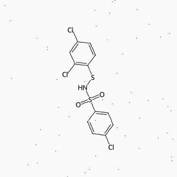 O=S(=O)(NSc1ccc(Cl)cc1Cl)c1ccc(Cl)cc1